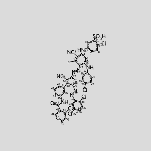 Cc1c(C#N)c(Nc2ccc(Cl)c(S(=O)(=O)O)c2)nc(Nc2ccc(Cl)cc2)c1N=Nc1sc(N=Nc2cc(Cl)ccc2Cl)c(-c2cccc(NC(=O)c3ccccc3C(=O)O)c2)c1C#N